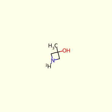 [2H]N1CC(C)(O)C1